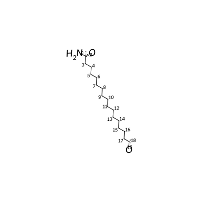 NC(=O)CCCCCCCCCCCCCCC[C]=O